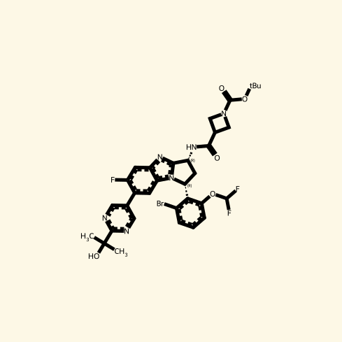 CC(C)(C)OC(=O)N1CC(C(=O)N[C@@H]2C[C@H](c3c(Br)cccc3OC(F)F)n3c2nc2cc(F)c(-c4cnc(C(C)(C)O)nc4)cc23)C1